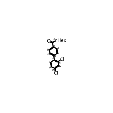 CCCCCCC(=O)c1ccc(-c2ccc(Cl)cc2Cl)cc1